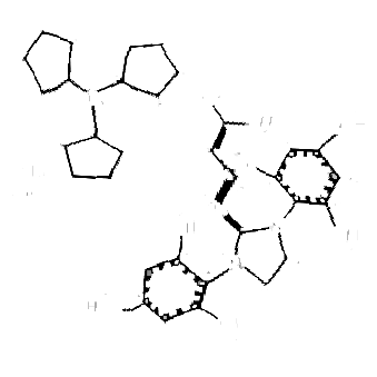 C1CCC(P(C2CCCC2)C2CCCC2)C1.CC(C)=C[CH]=[Ru+2]=[C]1N(c2c(C)cc(C)cc2C)CCN1c1c(C)cc(C)cc1C.[Cl-].[Cl-]